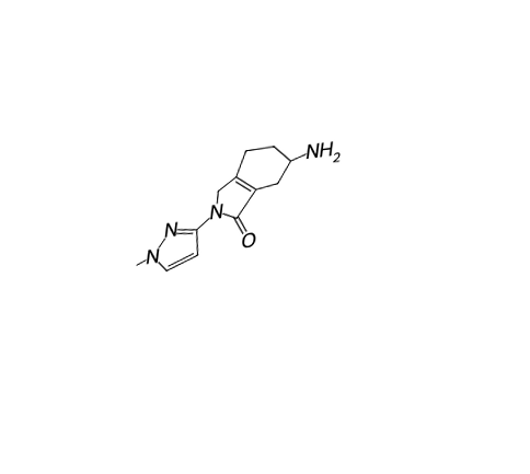 Cn1ccc(N2CC3=C(CC(N)CC3)C2=O)n1